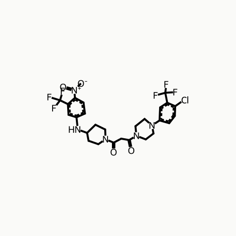 O=C(CC(=O)N1CCN(c2ccc(Cl)c(C(F)(F)F)c2)CC1)N1CCC(Nc2ccc([N+](=O)[O-])c(C(F)(F)F)c2)CC1